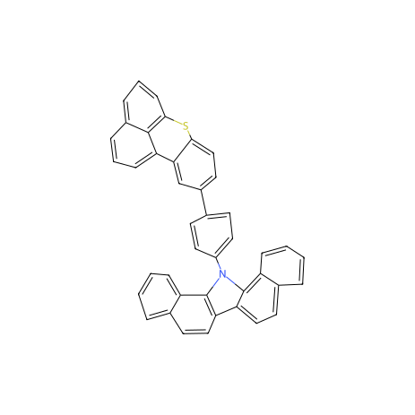 c1cc2c3c(cccc3c1)-c1cc(-c3ccc(-n4c5c6ccccc6ccc5c5ccc6ccccc6c54)cc3)ccc1S2